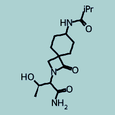 CC(C)C(=O)NC1CCC2(CC1)CN(C(C(N)=O)[C@@H](C)O)C2=O